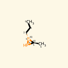 CCC[P@@]1P[C@@H]1C